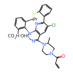 C=CC(=O)N1CCN(/C(=N/C)c2cc(Cl)c(-c3ccccc3F)nc2N(C=O)c2c(C(=O)O)cccc2C(C)C)C(C)C1